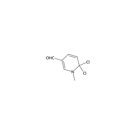 CN1C=C([C]=O)C=CC1(Cl)Cl